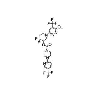 COc1nnc(N2CCC(F)(F)C(OC(=O)N3CCN(c4ncc(C(F)(F)F)cn4)CC3)C2)cc1C(F)(F)F